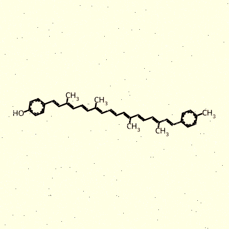 CC(/C=C/C=C(C)/C=C/c1ccc(C)cc1)=C\C=C\C=C(C)\C=C\C=C(C)\C=C\c1ccc(O)cc1